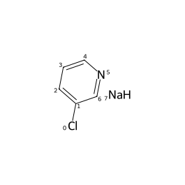 Clc1cccnc1.[NaH]